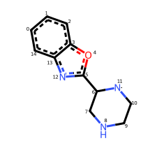 c1ccc2oc(C3CNCC[N]3)nc2c1